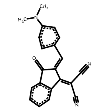 CN(C)c1ccc(C=C2C(=O)c3ccccc3C2=C(C#N)C#N)cc1